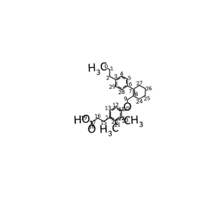 CCCc1ccc(C2=C(COc3ccc(CCC(=O)O)c(C)c3C)CCCC2)cc1